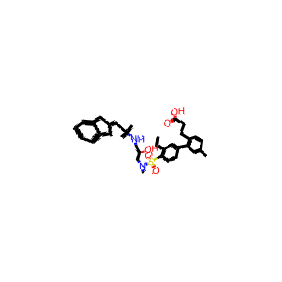 CCc1cc(-c2cc(C)ccc2CCC(=O)O)ccc1S(=O)(=O)N(C)C[C@H](O)CNC(C)(C)CC1Cc2ccccc2C1